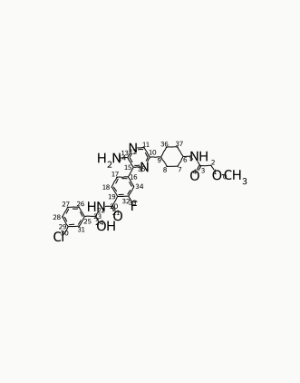 COCC(=O)NC1CCC(c2cnc(N)c(-c3ccc(C(=O)N[C@@H](O)c4cccc(Cl)c4)c(F)c3)n2)CC1